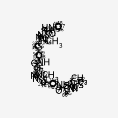 CCn1c(SC(C(=O)Nc2ccc(-c3ccc(-c4nnc(SC(F)C(=O)Nc5ccc(-c6ccc(-c7nnc(SC8(C(=O)Nc9ccccc9)CC8)n7CC)s6)cc5)n4CC)s3)cc2)C2CC2)nnc1-c1cccs1